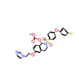 COC(=O)OC1c2ccc(OCCn3ccnc3)cc2CCN1S(=O)(=O)c1ccc(Oc2ccc(F)cc2)cc1